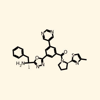 Cc1csc([C@H]2CCCN2C(=O)c2cc(-c3cncnc3)cc(-c3nnc([C@@](C)(N)Cc4ccccc4)o3)c2)n1